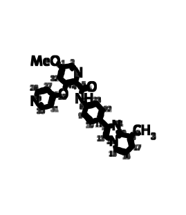 COc1cnc(C(=O)Nc2ccc(-c3cn4cccc(C)c4n3)cc2)c(Oc2ccncc2)c1